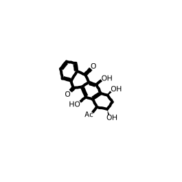 CC(=O)C1c2c(O)c3c(c(O)c2[C@@H](O)C[C@@H]1O)C(=O)c1ccccc1C3=O